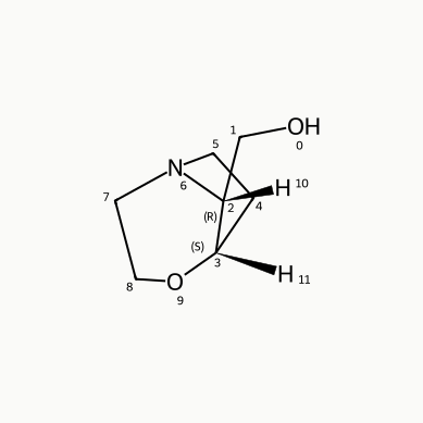 OC[C@@H]1[C@@H]2CCN1CCO2